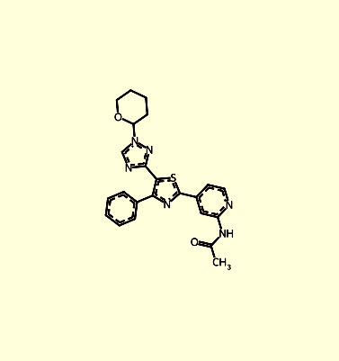 CC(=O)Nc1cc(-c2nc(-c3ccccc3)c(-c3ncn(C4CCCCO4)n3)s2)ccn1